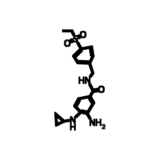 CCS(=O)(=O)c1ccc(CNC(=O)c2ccc(NC3CC3)c(N)c2)cc1